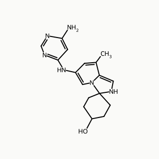 CC1=CC(Nc2cc(N)ncn2)=CN2C1=CNC21CCC(O)CC1